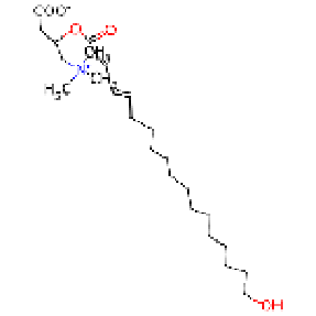 C[N+](C)(C)CC(CC(=O)[O-])OC(=O)C=CC=CCCCCCCCCCCCCCO